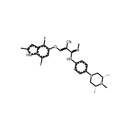 C/N=C(Nc1ccc(N2C[C@@H](C)N(C)[C@@H](C)C2)cc1)\C(C#N)=C\Oc1cc(F)c2[nH]c(C)cc2c1F